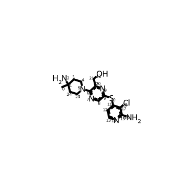 CC1(N)CCN(c2ncc(Sc3ccnc(N)c3Cl)nc2CO)CC1